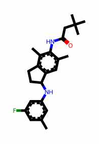 Cc1cc(F)cc(NC2CCc3c2cc(C)c(NC(=O)CC(C)(C)C)c3C)c1